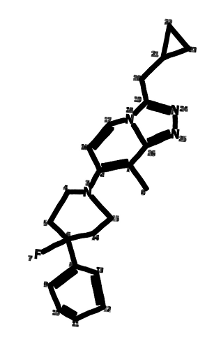 Cc1c(N2CCC(F)(c3ccccc3)CC2)ccn2c(CC3CC3)nnc12